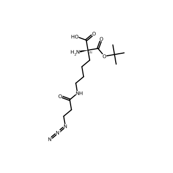 CC(C)(C)OC(=O)[C@](N)(CCCCNC(=O)CCN=[N+]=[N-])C(=O)O